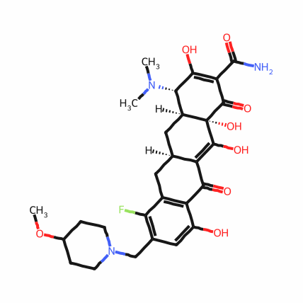 COC1CCN(Cc2cc(O)c3c(c2F)C[C@H]2C[C@H]4[C@H](N(C)C)C(O)=C(C(N)=O)C(=O)[C@@]4(O)C(O)=C2C3=O)CC1